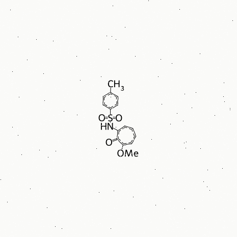 COc1ccccc(NS(=O)(=O)c2ccc(C)cc2)c1=O